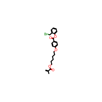 C=C(C)C(=O)OCCCCCCOc1ccc(C(=O)Oc2ccccc2CBr)cc1